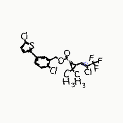 CC1(C)C(/C=C(\Cl)C(F)(F)F)[C@H]1C(=O)OCc1cc(-c2ccc(Cl)s2)ccc1Cl